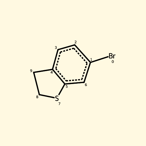 Brc1ccc2c(c1)SCC2